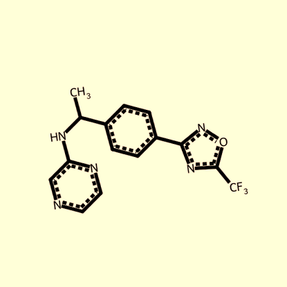 CC(Nc1cnccn1)c1ccc(-c2noc(C(F)(F)F)n2)cc1